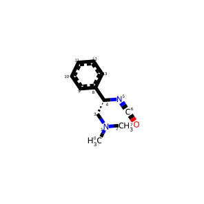 CN(C)C[C@@H](N=C=O)c1ccccc1